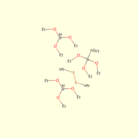 CCCCCCCC[Si](OCC)(OCC)OCC.CCCSSCCC.CCO[SiH](OCC)OCC.CCO[SiH](OCC)OCC